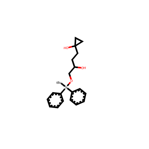 CC(C)(C)[Si](OCC(O)CCC1(O)CC1)(c1ccccc1)c1ccccc1